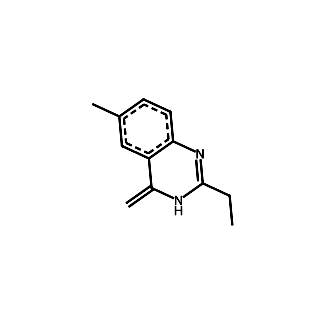 C=C1NC(CC)=Nc2ccc(C)cc21